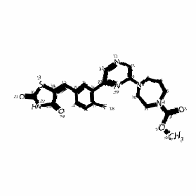 COC(=O)N1CCCN(c2cncc(-c3cc(/C=C4/SC(=O)NC4=O)ccc3F)n2)CC1